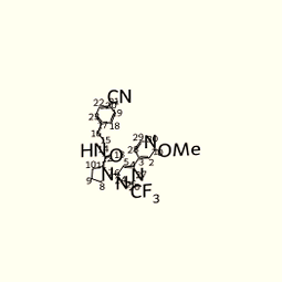 COc1cc(-c2cc(N3CCCC3C(=O)NCCc3ccc(C#N)cc3)nc(C(F)(F)F)n2)ccn1